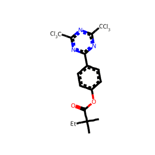 CCC(C)(C)C(=O)Oc1ccc(-c2nc(C(Cl)(Cl)Cl)nc(C(Cl)(Cl)Cl)n2)cc1